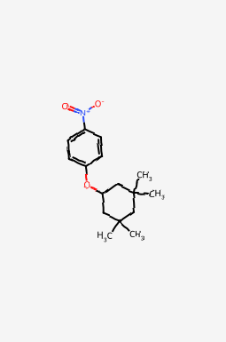 CC1(C)CC(Oc2ccc([N+](=O)[O-])cc2)CC(C)(C)C1